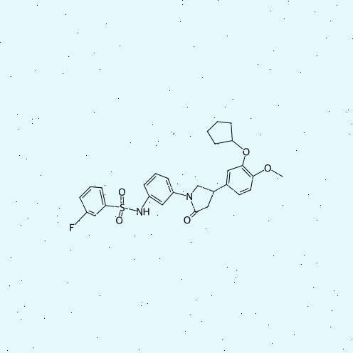 COc1ccc(C2CC(=O)N(c3cccc(NS(=O)(=O)c4cccc(F)c4)c3)C2)cc1OC1CCCC1